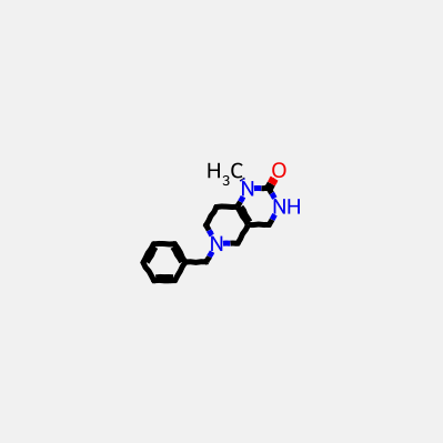 CN1C(=O)NCC2=C1CCN(Cc1ccccc1)C2